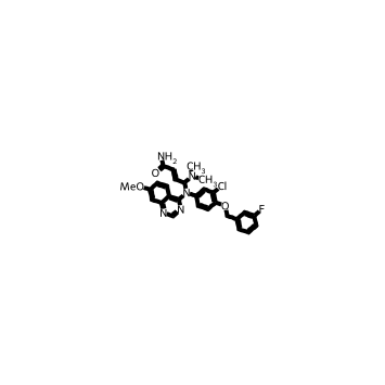 COc1ccc2c(N(c3ccc(OCc4cccc(F)c4)c(Cl)c3)C(C=CC(N)=O)N(C)C)ncnc2c1